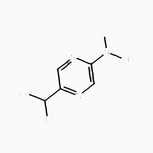 CCCC(CC)c1cnc(N(C)C)cn1